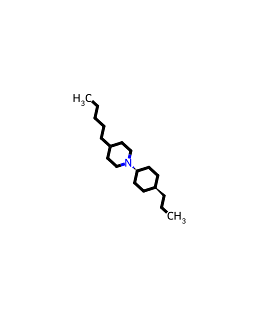 CCCCCC1CCN([C@H]2CC[C@H](CCC)CC2)CC1